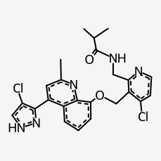 Cc1cc(-c2n[nH]cc2Cl)c2cccc(OCc3c(Cl)ccnc3CNC(=O)C(C)C)c2n1